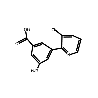 Nc1cc(C(=O)O)cc(-c2ncccc2Cl)c1